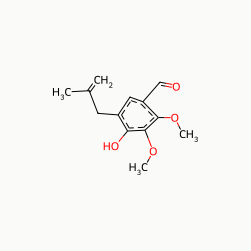 C=C(C)Cc1cc(C=O)c(OC)c(OC)c1O